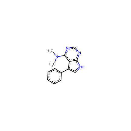 CN(C)c1ncnc2[nH]cc(-c3ccccc3)c12